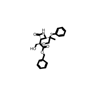 CC(CO)(Sc1ccccc1)[C@H]1NC(=O)[C@H]1[C@H](CO)C(=O)OCc1ccccc1